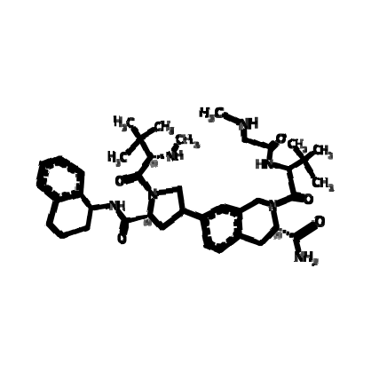 CNCC(=O)NC(C(=O)N1Cc2cc(C3C[C@@H](C(=O)NC4CCCc5ccccc54)N(C(=O)[C@@H](NC)C(C)(C)C)C3)ccc2C[C@H]1C(N)=O)C(C)(C)C